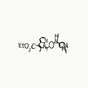 CCOC(=O)c1c(C)n([C@H](C)C2CCC(Nc3cnn(C)c3)CC2)c2ncccc12